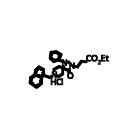 CCOC(=O)CCCN1CN(c2ccccc2)C2(CCN(Cc3cccc4ccccc34)CC2)C1=O.Cl